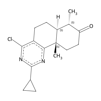 C[C@@H]1C(=O)CC[C@]2(C)c3nc(C4CC4)nc(Cl)c3CC[C@@H]12